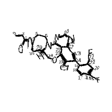 C=CC(=O)N1CCN2c3ncnc4cc(-c5ccc(F)cc5F)c(Cl)c(c34)OC[C@@H]2C1